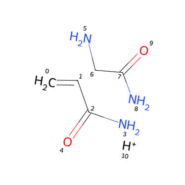 C=CC(N)=O.NCC(N)=O.[H+]